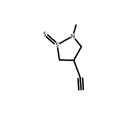 C#CC1CN(C)S(=S)C1